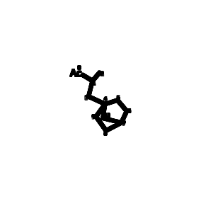 CC(=O)C(C)CC12CCC(CC1)C2